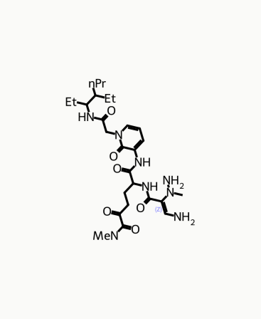 CCCC(CC)C(CC)NC(=O)Cn1cccc(NC(=O)C(CCC(=O)C(=O)NC)NC(=O)/C(=C/N)N(C)N)c1=O